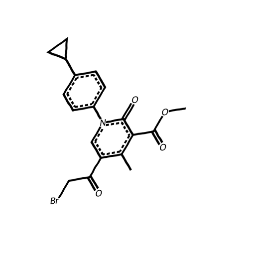 COC(=O)c1c(C)c(C(=O)CBr)cn(-c2ccc(C3CC3)cc2)c1=O